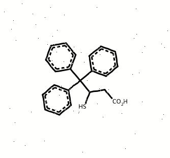 O=C(O)CC(S)C(c1ccccc1)(c1ccccc1)c1ccccc1